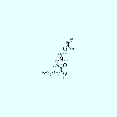 C=CCc1cc2c(c(OC)c1)OCN(CCOC(=O)C=C)C2